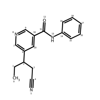 CCC(CC#N)c1cncc(C(=O)Nc2ccccc2)c1